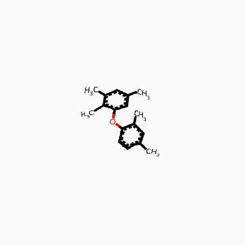 Cc1ccc(Oc2cc(C)cc(C)c2C)c(C)c1